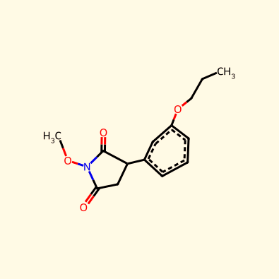 CCCOc1cccc(C2CC(=O)N(OC)C2=O)c1